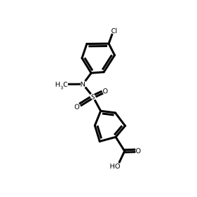 CN(c1ccc(Cl)cc1)S(=O)(=O)c1ccc(C(=O)O)cc1